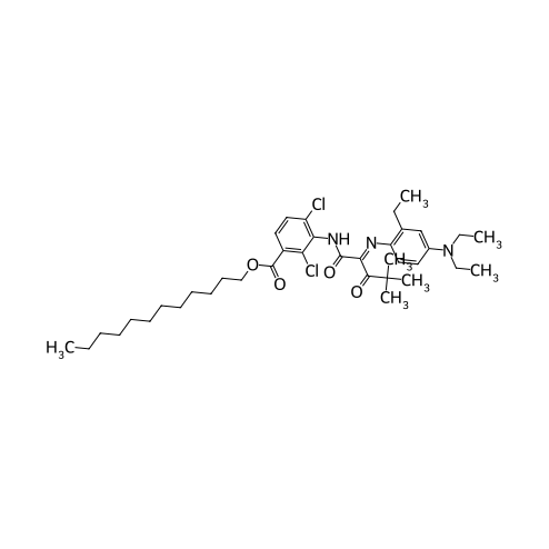 CCCCCCCCCCCCOC(=O)c1ccc(Cl)c(NC(=O)C(=Nc2ccc(N(CC)CC)cc2CC)C(=O)C(C)(C)C)c1Cl